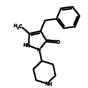 Cc1[nH]n(C2CCNCC2)c(=O)c1Cc1ccccc1